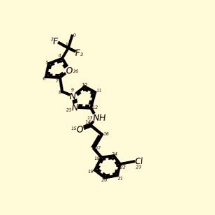 CC(F)(F)c1ccc(Cn2ccc(NC(=O)C=Cc3cccc(Cl)c3)n2)o1